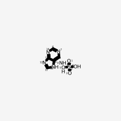 N.O=S(=O)(O)O.c1ncc2[nH]cnc2n1